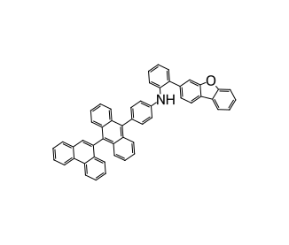 c1ccc(-c2ccc3c(c2)oc2ccccc23)c(Nc2ccc(-c3c4ccccc4c(-c4cc5ccccc5c5ccccc45)c4ccccc34)cc2)c1